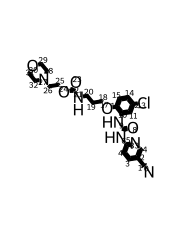 N#Cc1ccc(NC(=O)Nc2cc(Cl)ccc2OCCCNC(=O)OCCN2CCOCC2)nc1